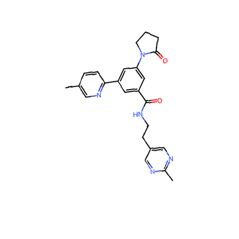 Cc1ccc(-c2cc(C(=O)NCCc3cnc(C)nc3)cc(N3CCCC3=O)c2)nc1